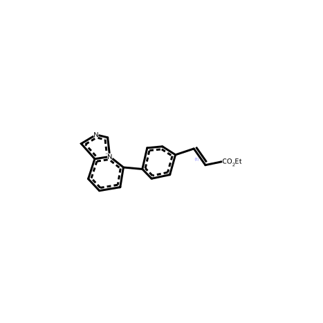 CCOC(=O)/C=C/c1ccc(-c2cccc3cncn23)cc1